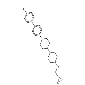 Fc1ccc(-c2ccc(C3CCC(C4CCC(OCC5CO5)CC4)CC3)cc2)cc1